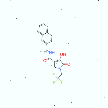 C[C@@H](NC(=O)C1=C(O)C(=O)N(CC(F)(F)F)C1)c1ccc2ccccc2c1